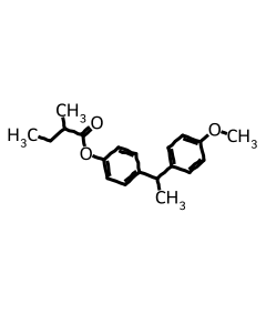 CCC(C)C(=O)Oc1ccc(C(C)c2ccc(OC)cc2)cc1